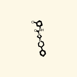 O=C(Nc1cccc(Cl)c1)N1CC(N2CCC(c3ccccc3)CC2)C1